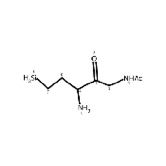 CC(=O)NCC(=O)C(N)CC[SiH3]